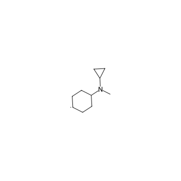 CN(C1CC[CH]CC1)C1CC1